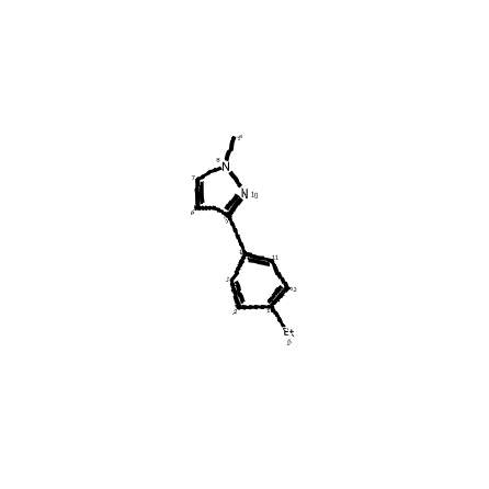 [CH2]Cc1ccc(-c2ccn(C)n2)cc1